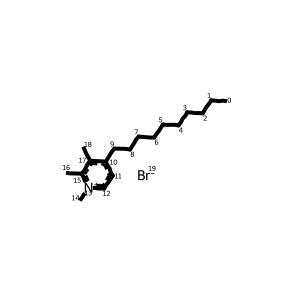 CCCCCCCCCCc1cc[n+](C)c(C)c1C.[Br-]